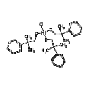 CC(C)(C[O][Hf]([Cl])([O]CC(C)(C)c1ccccc1)[O]CC(C)(C)c1ccccc1)c1ccccc1